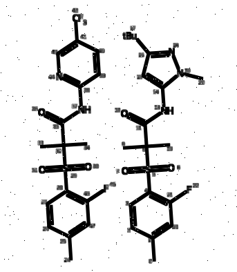 Cc1ccc(S(=O)(=O)C(C)(C)C(=O)Nc2cc(C(C)(C)C)nn2C)c(F)c1.Cc1ccc(S(=O)(=O)C(C)(C)C(=O)Nc2ccc(C(F)(F)F)cn2)c(F)c1